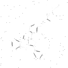 COc1c(OCC(=O)N[CH2][Cm]([CH3])[OH])cccc1C1CC(c2ccc(F)cc2)=NC1C(=O)c1cccc[c]1[Cm]